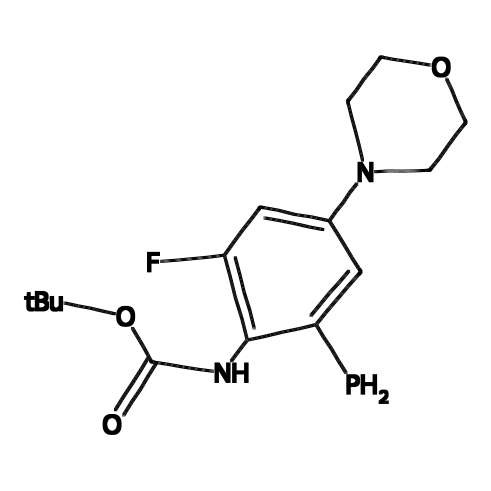 CC(C)(C)OC(=O)Nc1c(F)cc(N2CCOCC2)cc1P